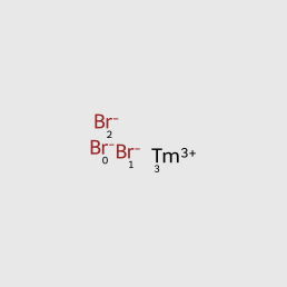 [Br-].[Br-].[Br-].[Tm+3]